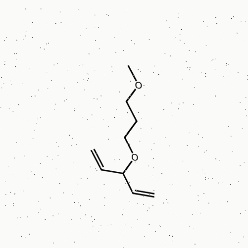 C=CC(C=C)OCCCOC